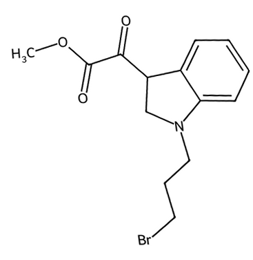 COC(=O)C(=O)C1CN(CCCBr)c2ccccc21